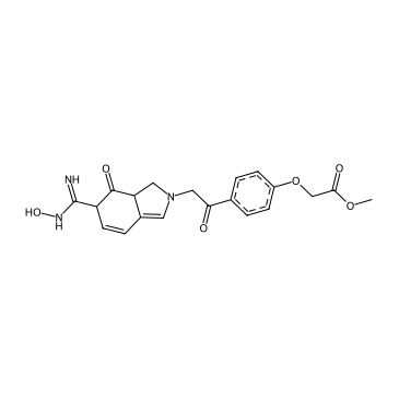 COC(=O)COc1ccc(C(=O)CN2C=C3C=CC(C(=N)NO)C(=O)C3C2)cc1